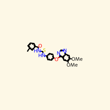 COc1cc2ncnc(Oc3ccc(NC(=S)NC(=O)c4cccc(C)c4)cc3)c2cc1OC